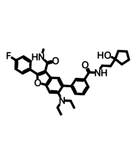 CCN(CC)c1cc2oc(-c3ccc(F)cc3)c(C(=O)NC)c2cc1-c1cccc(C(=O)NCCC2(O)CCCC2)c1